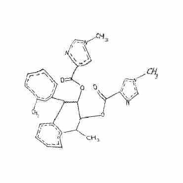 Cc1ccccc1C1c2ccccc2C(C)C(OC(=O)c2cn(C)cn2)C1OC(=O)c1cn(C)cn1